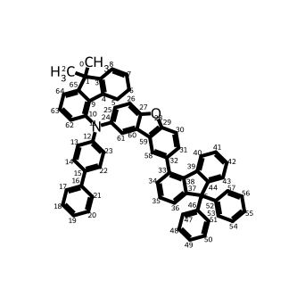 CC1(C)C2=C(CCC=C2)c2c(N(c3ccc(-c4ccccc4)cc3)c3ccc4oc5ccc(-c6cccc7c6-c6ccccc6C7(c6ccccc6)c6ccccc6)cc5c4c3)cccc21